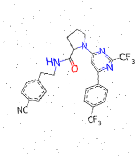 N#Cc1ccc(CCNC(=O)C2CCCN2c2cc(-c3ccc(C(F)(F)F)cc3)nc(C(F)(F)F)n2)cc1